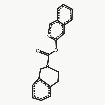 O=C(Oc1cc2ccccc2cn1)N1CCc2ccccc2C1